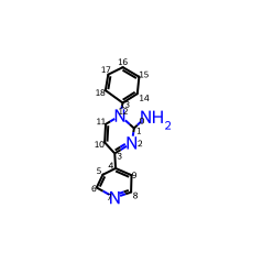 NC1N=C(c2ccncc2)C=CN1c1ccccc1